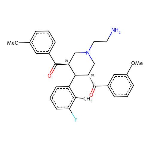 COc1cccc(C(=O)[C@H]2CN(CCN)C[C@H](C(=O)c3cccc(OC)c3)C2c2cccc(F)c2C)c1